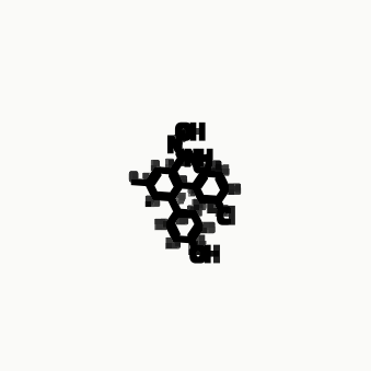 Cc1cc(/C(N)=N/O)c(-c2cc(Cl)ccc2Cl)c(-c2ccc(O)cc2)c1